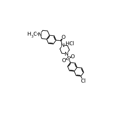 CN1CCc2cc(C(=O)N3CCN(S(=O)(=O)c4ccc5cc(Cl)ccc5c4)CC3)ccc2C1.Cl